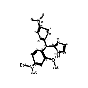 CCOc1cc(N(CC)CC)ccc1C(c1ccc(N(C)C)cc1)c1ncc[nH]1